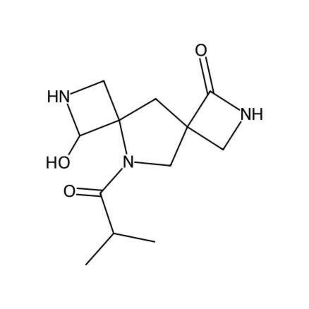 CC(C)C(=O)N1CC2(CNC2=O)CC12CNC2O